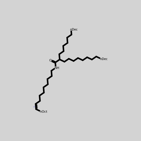 CCCCCCCC/C=C\CCCCCCCCNC(=O)C(CCCCCCCCCCCCCCCC)CCCCCCCCCCCCCCCCCC